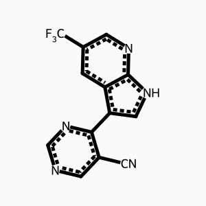 N#Cc1cncnc1-c1c[nH]c2ncc(C(F)(F)F)cc12